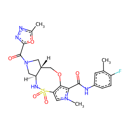 Cc1nnc(C(=O)N2C[C@@H]3COc4c(cn(C)c4C(=O)Nc4ccc(F)c(C)c4)S(=O)(=O)N[C@H]3C2)o1